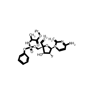 C=C[C@]1(COP(=O)(NC(C)C(=O)OC(C)C)Oc2ccccc2)O[C@@H](N2C=CC(N)=NC2=C)[C@H](F)[C@@H]1O